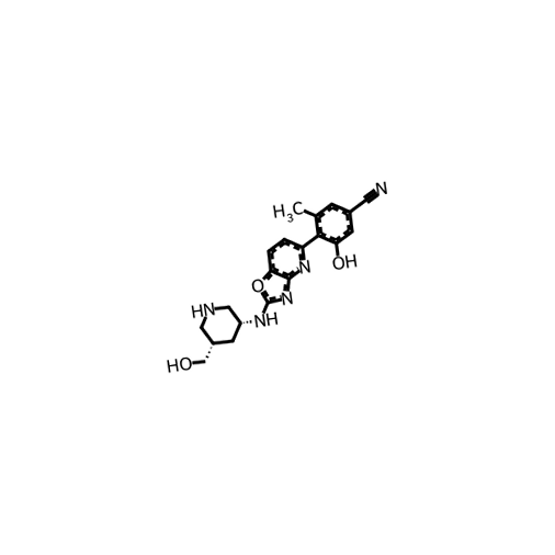 Cc1cc(C#N)cc(O)c1-c1ccc2oc(N[C@H]3CNC[C@@H](CO)C3)nc2n1